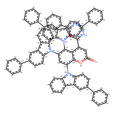 O=c1cc(-c2cc(-c3ccccc3)nc(-c3ccccc3)n2)c2c(-n3c4ccccc4c4cc(-c5ccccc5)ccc43)c(-n3c4ccccc4c4cc(-c5ccccc5)ccc43)cc(-n3c4ccccc4c4cc(-c5ccccc5)ccc43)c2o1